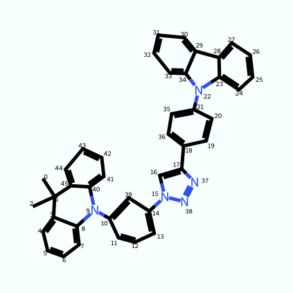 CC1(C)c2ccccc2N(c2cccc(-n3cc(-c4ccc(-n5c6ccccc6c6ccccc65)cc4)nn3)c2)c2ccccc21